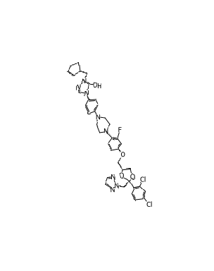 OC1N(CC2CCCC2)N=CN1c1ccc(N2CCN(c3ccc(OC[C@H]4CO[C@](Cn5nccn5)(c5ccc(Cl)cc5Cl)O4)cc3F)CC2)cc1